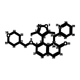 Cc1noc(C)c1-c1c(OCC2CCOCC2)ccc2ccc(=O)n(Cc3ccccn3)c12